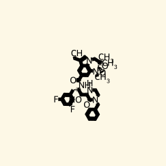 CCc1cn2c3c(cc(C(=O)N[C@@H](Cc4cc(F)cc(F)c4)[C@H](O)[C@@H]4NCCN(Cc5ccccc5)C4=O)cc13)N(C)S(=O)(=O)C(C)(C)C2